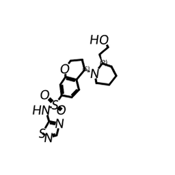 O=S(=O)(Nc1ncns1)c1ccc2c(c1)OCC[C@@H]2N1CCCC[C@@H]1CCO